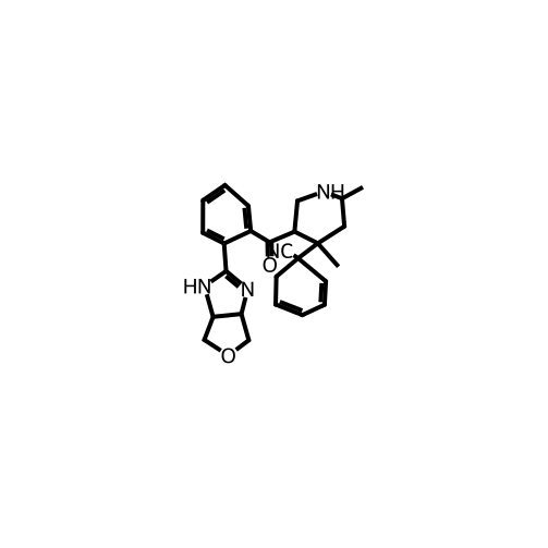 CC1CC(C)(C2(C#N)C=CC=CC2)C(C(=O)c2ccccc2C2=NC3COCC3N2)CN1